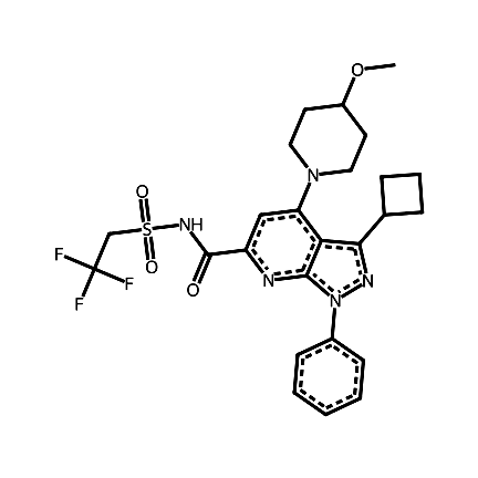 COC1CCN(c2cc(C(=O)NS(=O)(=O)CC(F)(F)F)nc3c2c(C2CCC2)nn3-c2ccccc2)CC1